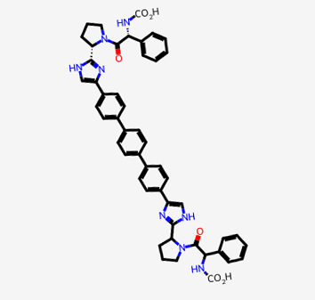 O=C(O)NC(C(=O)N1CCCC1c1nc(-c2ccc(-c3ccc(-c4ccc(-c5c[nH]c([C@@H]6CCCN6C(=O)[C@H](NC(=O)O)c6ccccc6)n5)cc4)cc3)cc2)c[nH]1)c1ccccc1